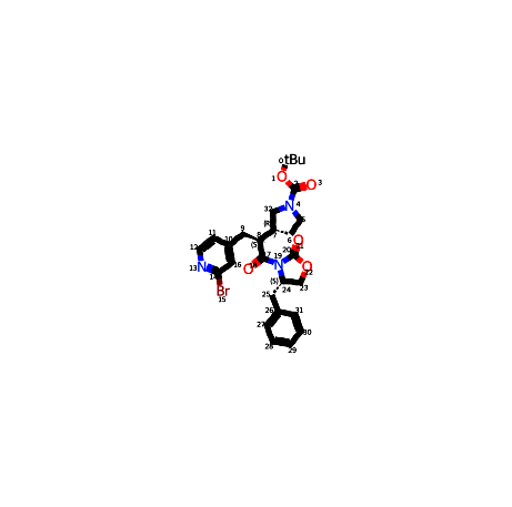 CC(C)(C)OC(=O)N1CC[C@H]([C@H](Cc2ccnc(Br)c2)C(=O)N2C(=O)OC[C@@H]2Cc2ccccc2)C1